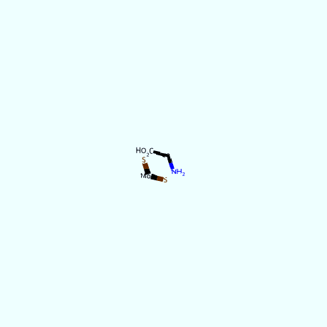 NCC(=O)O.[S]=[Mo]=[S]